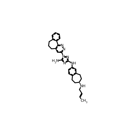 CC=CCN[C@H]1CCc2ccc(Nc3nc(N)n(-c4cc5c(nn4)-c4ccccc4CCC5)n3)cc2CC1